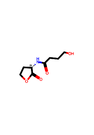 O=C(CCCO)N[C@H]1CCOC1=O